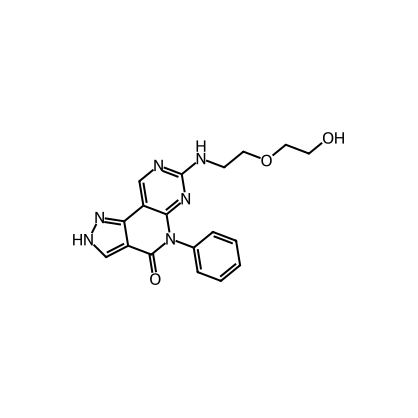 O=c1c2c[nH]nc2c2cnc(NCCOCCO)nc2n1-c1ccccc1